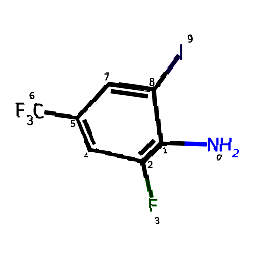 Nc1c(F)cc(C(F)(F)F)cc1I